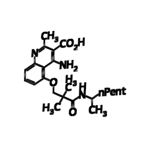 CCCCCC(C)NC(=O)C(C)(C)COc1cccc2nc(C)c(C(=O)O)c(N)c12